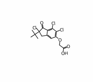 CC(C)(C)C1(Cl)Cc2cc(OCC(=O)O)c(Cl)c(Cl)c2C1=O